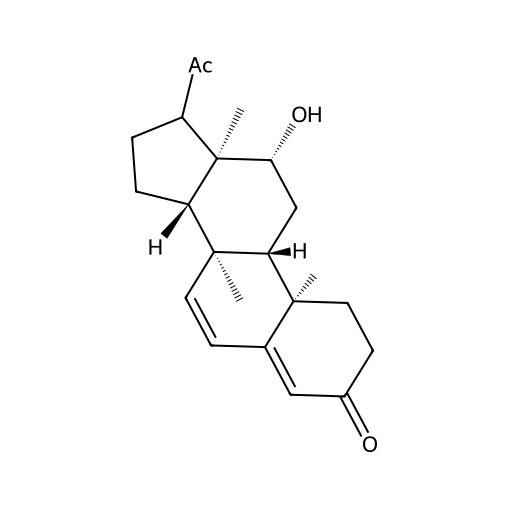 CC(=O)C1CC[C@H]2[C@]3(C)C=CC4=CC(=O)CC[C@]4(C)[C@H]3C[C@@H](O)[C@]12C